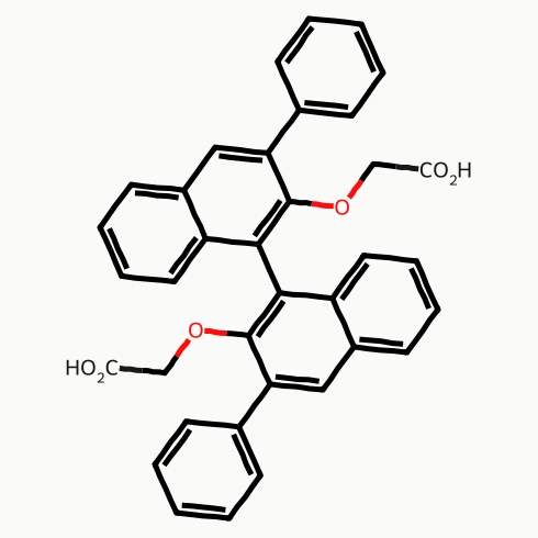 O=C(O)COc1c(-c2ccccc2)cc2ccccc2c1-c1c(OCC(=O)O)c(-c2ccccc2)cc2ccccc12